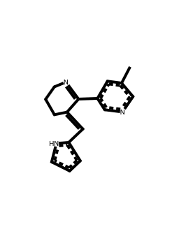 Cc1cncc(C2=NCCC/C2=C\c2ccc[nH]2)c1